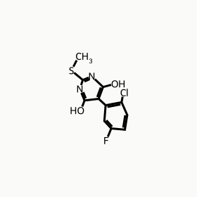 CSc1nc(O)c(-c2cc(F)ccc2Cl)c(O)n1